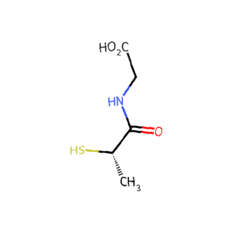 C[C@H](S)C(=O)NCC(=O)O